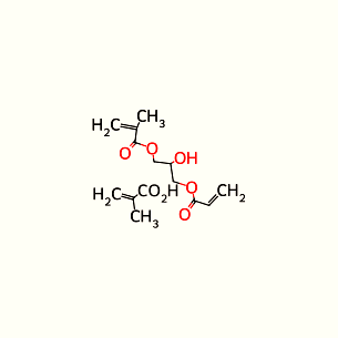 C=C(C)C(=O)O.C=CC(=O)OCC(O)COC(=O)C(=C)C